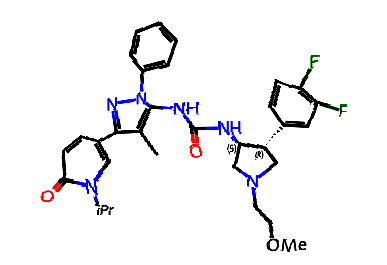 COCCN1C[C@@H](NC(=O)Nc2c(C)c(-c3ccc(=O)n(C(C)C)c3)nn2-c2ccccc2)[C@H](c2ccc(F)c(F)c2)C1